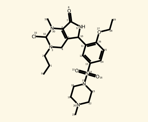 CCCN1CC2=C(C(=O)NC2c2cc(S(=O)(=O)N3CCN(C)CC3)ccc2OCC)N(C)C1Cl